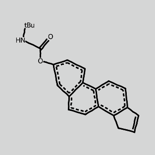 CC(C)(C)NC(=O)Oc1ccc2c(ccc3c4c(ccc32)C=CC4)c1